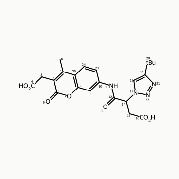 Cc1c(CC(=O)O)c(=O)oc2cc(NC(=O)C(CC(=O)O)n3cc(C(C)(C)C)nn3)ccc12